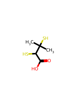 CC(C)(S)C(S)C(=O)O